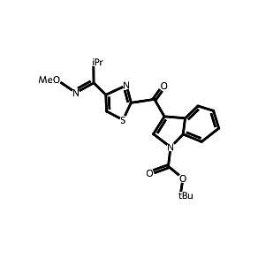 CON=C(c1csc(C(=O)c2cn(C(=O)OC(C)(C)C)c3ccccc23)n1)C(C)C